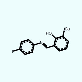 CC(C)(C)c1cccc(C=Nc2ccc(I)cc2)c1O